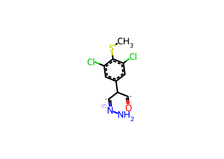 CSc1c(Cl)cc(C([C]=O)/[C]=N\N)cc1Cl